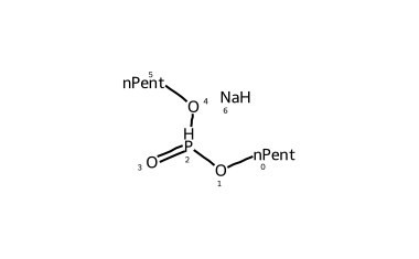 CCCCCO[PH](=O)OCCCCC.[NaH]